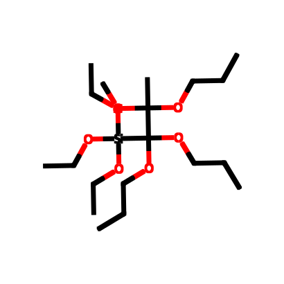 CCCOC(C)(OC)C(OCCC)(OCCC)[Si](OCC)(OCC)OCC